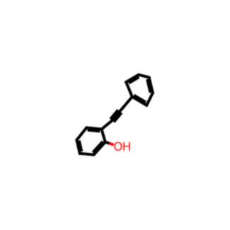 Oc1ccccc1C#Cc1ccccc1